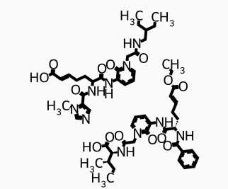 CCC(CC)CNC(=O)Cn1cccc(NC(=O)C(CCC=CC(=O)O)NC(=O)c2cncn2C)c1=O.CCOC(=O)C=CCC[C@H](NC(=O)c1ccccc1)C(=O)Nc1cccn(CC(=O)N[C@H](C(=O)O)[C@H](C)CC)c1=O